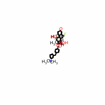 CN(C)c1cccc(Cc2ccc([C@@H]3O[C@@H]4C[C@H]5[C@@H]6C[C@H](F)C7=CC(=O)C=C[C@]7(C)[C@@]6(F)[C@@H](O)C[C@]5(C)[C@]4(C(=O)CO)O3)cc2)c1